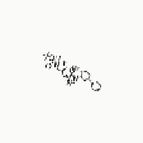 CC(C)(C)OC(=O)NCC(=CF)Cn1ncn(-c2cc(-c3ccccc3)ccc2Br)c1=O